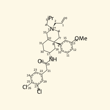 C=CC[N@@+]1(CC(C)C)CC[C@]2(c3cccc(OC)c3)C[C@H](NC(=O)Cc3ccc(Cl)c(Cl)c3)CCC2C1